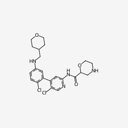 O=C(Nc1cc(-c2cc(NCC3CCOCC3)ccc2Cl)c(Cl)cn1)C1CNCCO1